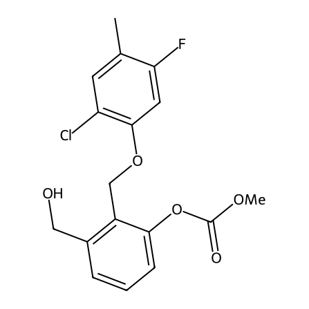 COC(=O)Oc1cccc(CO)c1COc1cc(F)c(C)cc1Cl